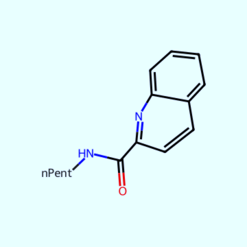 CCCCCNC(=O)c1ccc2ccccc2n1